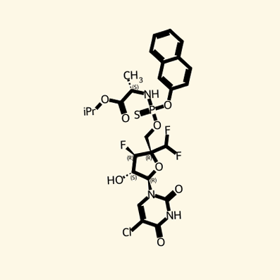 CC(C)OC(=O)[C@H](C)NP(=S)(OC[C@@]1(C(F)F)O[C@@H](n2cc(Cl)c(=O)[nH]c2=O)[C@H](O)[C@H]1F)Oc1ccc2ccccc2c1